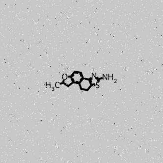 CC1Cc2c(ccc3c2CCc2sc(N)nc2-3)O1